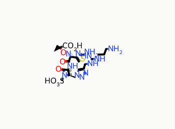 N=C(NCCCN)NCc1cn(C[C@@H]2[C@H](NC(=O)/C(=N\OC3(C(=O)O)CC3)c3csc(N)n3)C(=O)N2S(=O)(=O)O)nn1